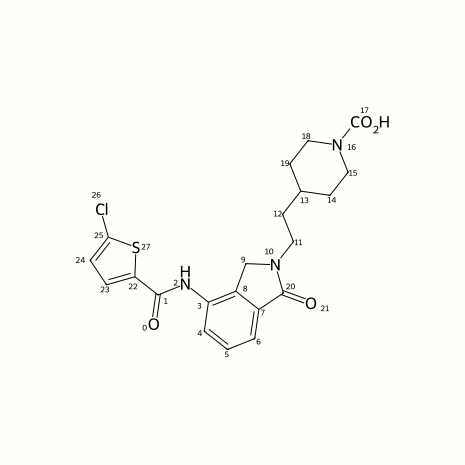 O=C(Nc1cccc2c1CN(CCC1CCN(C(=O)O)CC1)C2=O)c1ccc(Cl)s1